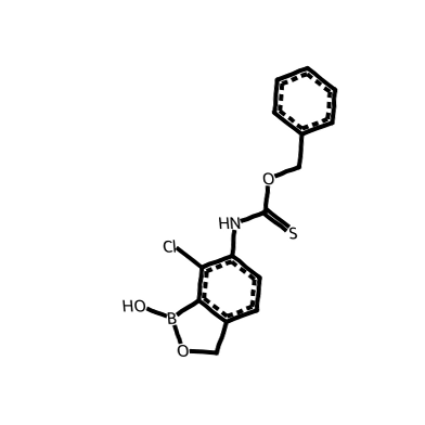 OB1OCc2ccc(NC(=S)OCc3ccccc3)c(Cl)c21